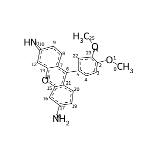 COc1ccc(-c2c3ccc(=N)cc-3oc3cc(N)ccc23)cc1OC